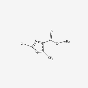 CCCCOC(=S)c1sc(Cl)nc1C(F)(F)F